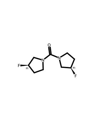 O=C(N1CC[C@@H](F)C1)N1CC[C@@H](F)C1